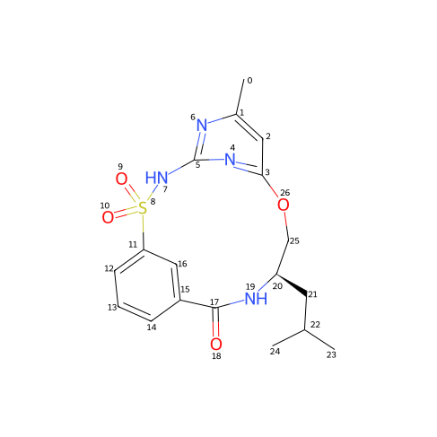 Cc1cc2nc(n1)NS(=O)(=O)c1cccc(c1)C(=O)N[C@H](CC(C)C)CO2